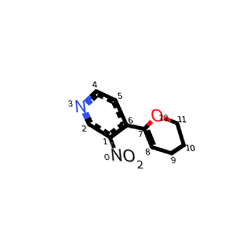 O=[N+]([O-])c1cnccc1C1=CCCCO1